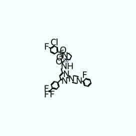 O=C(NCc1cc(-c2ccc(C(F)(F)F)cc2)nc(N2CCN(c3ccccc3F)CC2)n1)[C@@H]1CCCN1S(=O)(=O)c1ccc(F)c(Cl)c1